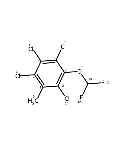 Cc1c(Cl)c(Cl)c(Cl)c(OC(F)F)c1Cl